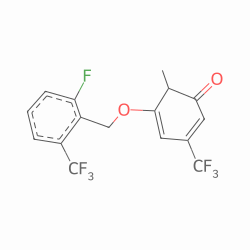 CC1C(=O)C=C(C(F)(F)F)C=C1OCc1c(F)cccc1C(F)(F)F